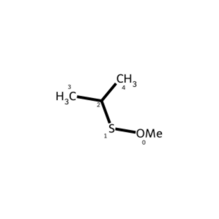 COSC(C)C